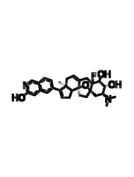 CN(C)[C@H]1C[C@@]23CC[C@@]4(O2)C(=CC[C@]2(C)C(c5ccc6cnc(O)cc6c5)=CCC24)CC3(F)[C@@H](O)[C@@H]1O